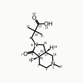 CN1CC[C@]2(F)C(=O)N(CC(C)(C)C(=O)O)C[C@@H]2C1